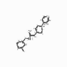 Cc1cccc(CNC(=O)Cc2ccc(-c3ccncc3)cc2)c1